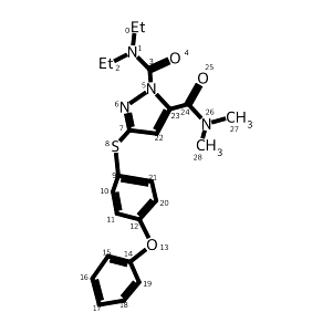 CCN(CC)C(=O)n1nc(Sc2ccc(Oc3ccccc3)cc2)cc1C(=O)N(C)C